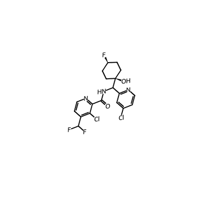 O=C(NC(c1cc(Cl)ccn1)[C@]1(O)CC[C@@H](F)CC1)c1nccc(C(F)F)c1Cl